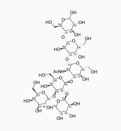 CC(=O)N[C@H]1[C@H](O[C@H]2[C@@H](O)[C@@H](CO)O[C@@H](O[C@H]3[C@H](O)[C@@H](O)C(O)O[C@@H]3CO)[C@@H]2O)O[C@H](CO)[C@@H](O)[C@@H]1O[C@@H]1O[C@H](CO)[C@H](O)[C@H](O[C@H]2O[C@H](CO)[C@H](O)[C@H](O)[C@H]2O)[C@H]1O[C@@H]1O[C@@H](C)[C@@H](O)[C@@H](O)[C@@H]1O